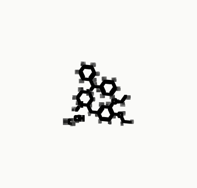 CCOc1ccc(CC2CN(C(c3ccccc3)c3ccccc3)CCN2C)cc1OCC.Cl.Cl